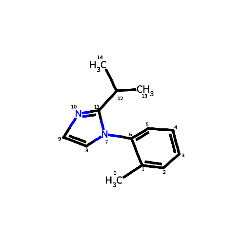 Cc1ccccc1-n1ccnc1C(C)C